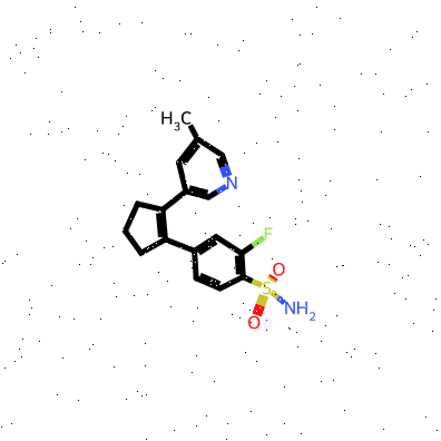 Cc1cncc(C2=C(c3ccc(S(N)(=O)=O)c(F)c3)CCC2)c1